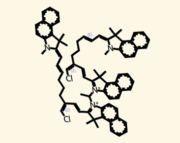 CC([N+]1=C(C=C/C(=C\Cl)CCCC=CC=C2N(C)c3ccc4ccccc4c3C2(C)C)C(C)(C)c2c1ccc1ccccc21)[N+]1=C(C=C/C(=C\Cl)CCC/C=C/C=C2N(C)c3ccc4ccccc4c3C2(C)C)C(C)(C)c2c1ccc1ccccc21